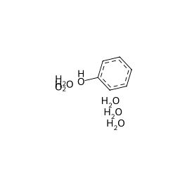 O.O.O.O.O.Oc1ccccc1